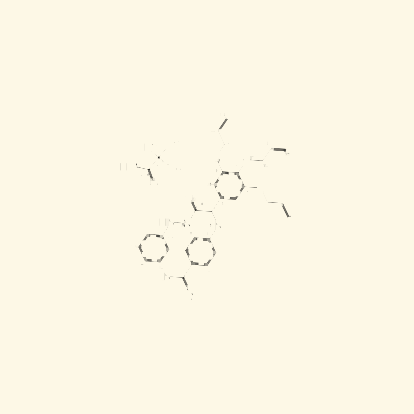 C=CCOc1cc(C(Nc2ccc(C(=N)N)cc2)C(=O)NNc2ccccc2)cc(OCC=C)c1OCC=C.O=C(O)C(F)(F)F